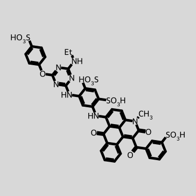 CCNc1nc(Nc2cc(Nc3ccc4c5c3C(=O)c3ccccc3-c5c(C(=O)c3cccc(S(=O)(=O)O)c3)c(=O)n4C)c(S(=O)(=O)O)cc2S(=O)(=O)O)nc(Oc2ccc(S(=O)(=O)O)cc2)n1